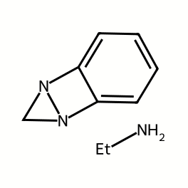 CCN.c1ccc2c(c1)n1n2C1